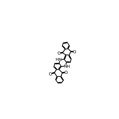 O=c1c2ccccc2c(=O)c2c1ccc1[nH]c3c(ccc4c(=O)c5ccccc5c(=O)c43)[nH]c12